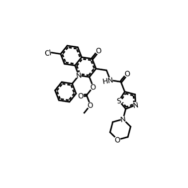 COC(=O)Oc1c(CNC(=O)c2cnc(N3CCOCC3)s2)c(=O)c2ccc(Cl)cc2n1-c1ccccc1